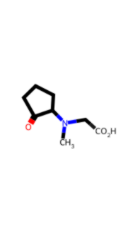 CN(CC(=O)O)C1CCCC1=O